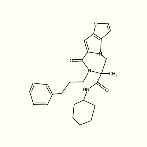 CC1(C(=O)NC2CCCCC2)Cn2c(cc3occc32)C(=O)N1CCCc1ccccc1